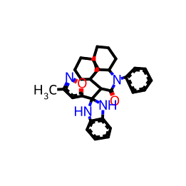 Cc1cc(C2(C(C(=O)N(c3ccccc3)C3CCCCC3)C3CCCCC3)Nc3ccccc3N2)on1